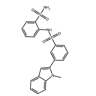 Cn1c(-c2cccc(S(=O)(=O)Nc3ccccc3S(N)(=O)=O)c2)cc2ccccc21